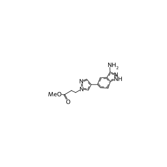 COC(=O)CCn1cc(-c2ccc3[nH]nc(N)c3c2)cn1